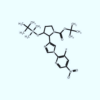 CC(C)(C)OC(=O)N1CCC(O[Si](C)(C)C(C)(C)C)C1c1cn(-c2ncc([N+](=O)[O-])cc2F)cn1